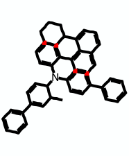 CC1C=C(c2ccccc2)C=CC1N(c1ccc(-c2ccccc2)cc1)c1ccccc1-c1cccc2cccc(C3CCCCC3)c12